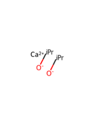 CC(C)[O-].CC(C)[O-].[Ca+2]